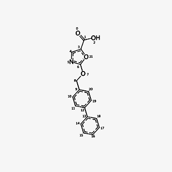 O=C(O)c1cnc(OCc2ccc(-c3ccccc3)cc2)o1